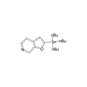 CCC[CH2][Sn]([CH2]CCC)([CH2]CCC)[c]1cc2ccncc2o1